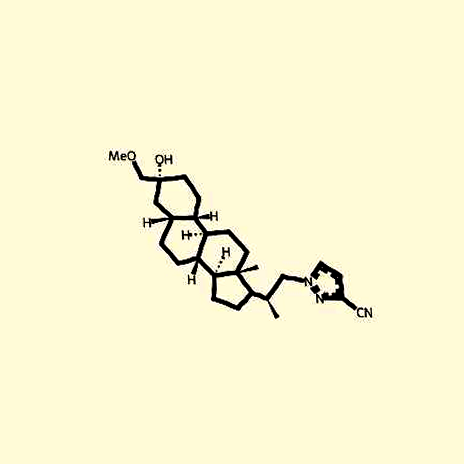 COC[C@@]1(O)CC[C@H]2[C@H](CC[C@@H]3[C@@H]2CC[C@]2(C)C([C@H](C)Cn4ccc(C#N)n4)CC[C@@H]32)C1